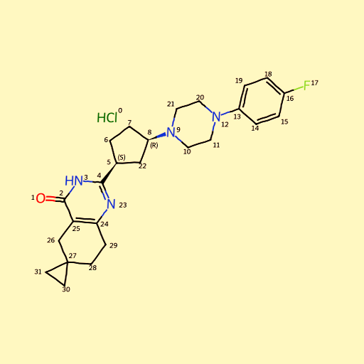 Cl.O=c1[nH]c([C@H]2CC[C@@H](N3CCN(c4ccc(F)cc4)CC3)C2)nc2c1CC1(CC2)CC1